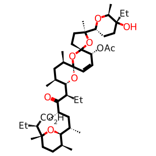 CC[C@@H](C(=O)[C@@H](C)C[C@H](C)[C@@H]1O[C@@](C)([C@@H](CC)C(=O)O)CC[C@@H]1C)[C@H]1O[C@]2(C=C[C@@H](OC(C)=O)[C@]3(CC[C@@](C)([C@H]4CC[C@](O)(CC)[C@H](C)O4)O3)O2)[C@H](C)C[C@@H]1C